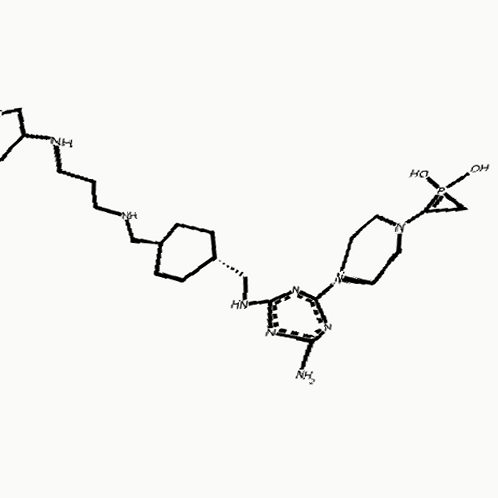 Nc1nc(NC[C@H]2CC[C@H](CNCCCNC3CCCCC3)CC2)nc(N2CCN(C3=P(O)(O)C3)CC2)n1